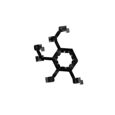 CNc1ccc(C)c(O)c1NC